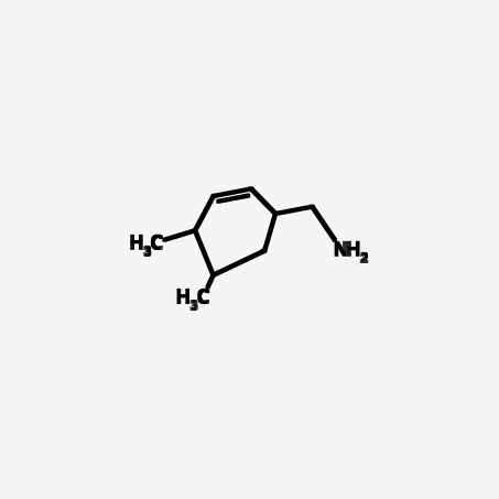 CC1C=CC(CN)CC1C